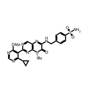 CC[C@@H](C)n1c(=O)c(NCc2ccc(S(N)(=O)=O)cc2)nc2cnc(-c3c(OC)ncnc3C3CC3)nc21